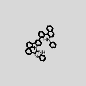 c1ccc(Nc2ccc3ccccc3c2-c2cccc(-c3ccc4c(c3)c3ccccc3n4C3Nc4ccccc4N=C3c3ccccc3)c2)cc1